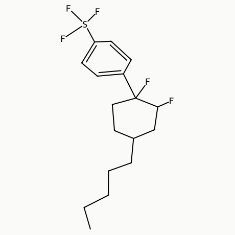 CCCCCC1CCC(F)(c2ccc(S(F)(F)F)cc2)C(F)C1